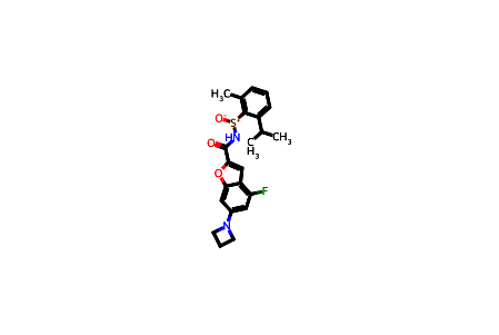 Cc1cccc(C(C)C)c1[S+]([O-])NC(=O)c1cc2c(F)cc(N3CCC3)cc2o1